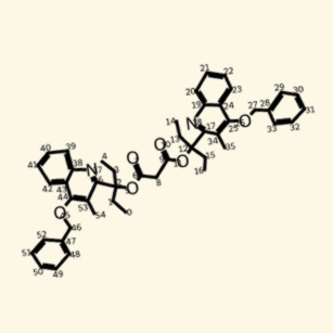 CCC(CC)(OC(=O)CC(=O)OC(CC)(CC)c1nc2ccccc2c(OCc2ccccc2)c1C)c1nc2ccccc2c(OCc2ccccc2)c1C